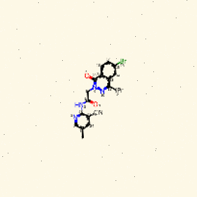 Cc1cnc(NC(=O)Cn2nc(C(C)C)c3cc(Br)ccc3c2=O)c(C#N)c1